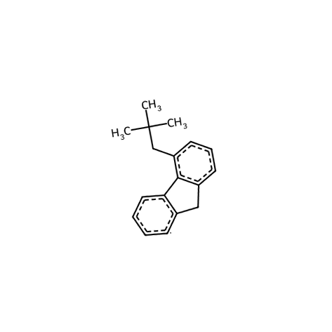 CC(C)(C)Cc1cccc2c1-c1ccc[c]c1C2